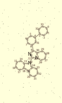 c1ccc(-c2cccc(-c3nc(-n4c5ccccc5c5ccccc54)n4ccccc34)c2)cc1